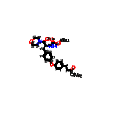 COC(=O)CCc1ccc(Oc2ccc(C[C@H](NC(=O)OC(C)(C)C)C(=O)N3CCOCC3)cc2)cc1